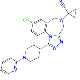 N#CC1(N2Cc3cc(Cl)ccc3-n3c(nnc3C3CCN(c4ccc(F)cn4)CC3)C2)CC1